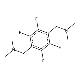 CN(C)Cc1c(F)c(F)c(CN(C)C)c(F)c1F